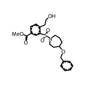 COC(=O)c1ccc(CCO)c(S(=O)(=O)N2CCCC(OCc3ccccc3)CC2)c1